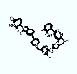 CCc1nc(CN2CCC(c3ccc4c(c3)C(=O)N(C3CCC(=O)NC3=O)C4)CC2)cnc1OC1CC2CNc3nnc(-c4cccc(F)c4O)cc3N2C1